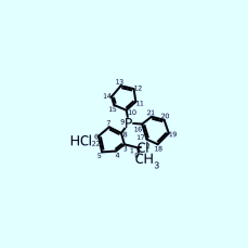 CC(Cl)c1ccccc1P(c1ccccc1)c1ccccc1.Cl